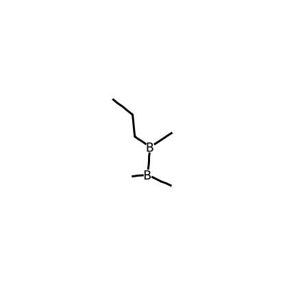 CCCB(C)B(C)C